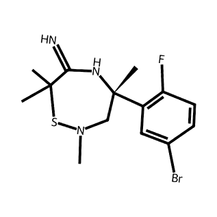 CN1C[C@@](C)(c2cc(Br)ccc2F)NC(=N)C(C)(C)S1